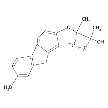 Bc1ccc2c(c1)Cc1cc(OC(C)(C)C(C)(C)O)ccc1-2